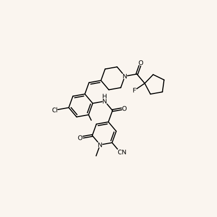 Cc1cc(Cl)cc(C=C2CCN(C(=O)C3(F)CCCC3)CC2)c1NC(=O)c1cc(C#N)n(C)c(=O)c1